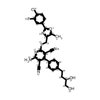 Cc1oc(-c2ccc(Cl)c(F)c2)nc1CSc1nc(N)c(C#N)c(-c2ccc(CC[C@@H](O)CO)cc2)c1C#N